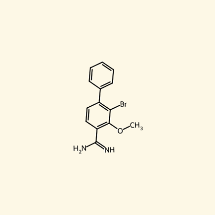 COc1c(C(=N)N)ccc(-c2ccccc2)c1Br